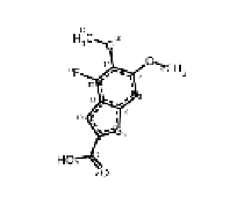 COc1cc2sc(C(=O)O)cc2c(F)c1OC